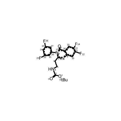 CC(C)(C)OC(=O)NCCc1nc2cc(F)c(F)cc2c(=O)n1-c1cc(F)cc(F)c1